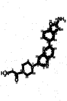 NCC(=O)N1CCN(c2cnc3ccc(-c4ccc5oc(N)nc5c4)nc3c2)CC1